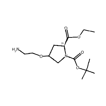 CCOC(=O)[C@@H]1CC(OCCN)CN1C(=O)OC(C)(C)C